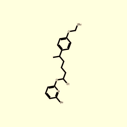 CCC(CCCC(C)c1ccc(OCC(C)(C)C)cc1)Oc1cccc(C(C)C)n1